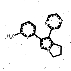 Cc1cccc(-c2nn3c(c2-c2cnccn2)CCC3)n1